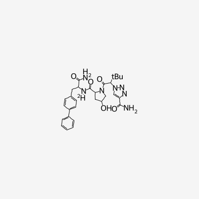 [2H]N(C(=O)C1CC(O)CN1C(=O)C(n1cc(C(N)=O)nn1)C(C)(C)C)C(Cc1ccc(-c2ccccc2)cc1)C(N)=O